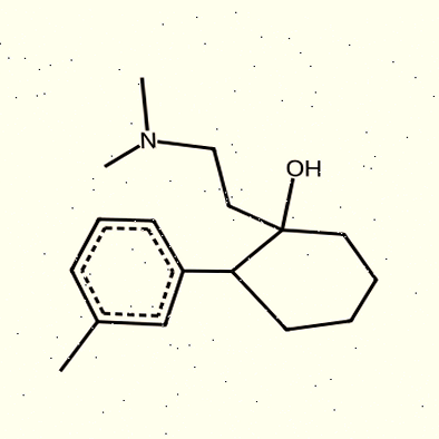 Cc1cccc(C2CCCCC2(O)CCN(C)C)c1